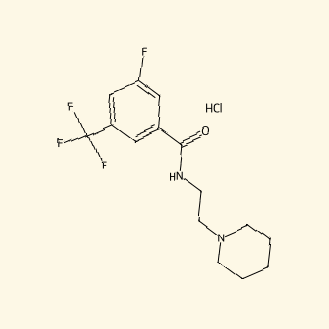 Cl.O=C(NCCN1CCCCC1)c1cc(F)cc(C(F)(F)F)c1